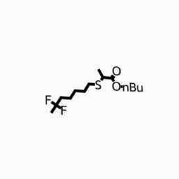 CCCCOC(=O)C(C)SCCCCCC(C)(F)F